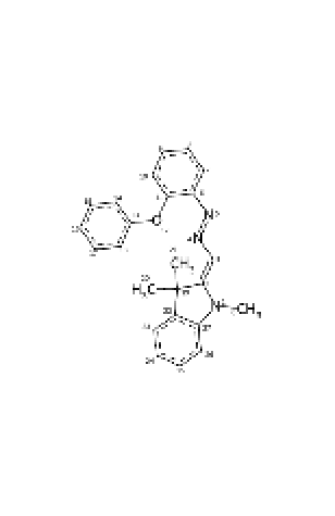 CN1/C(=C/N=N/c2ccccc2Oc2ccccc2)C(C)(C)c2ccccc21